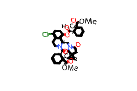 COC(=O)[C@@]1(C)CC=CC[C@H]1C(=O)Oc1ccc(Cl)c2c1[C@@H](CN1CC3(CC3)CC1=O)N(C(=O)[C@@H]1CC=CC[C@]1(C)C(=O)OC)CC2